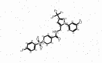 O=C(NCc1cc(C(F)(F)F)nn1-c1cccc(Cl)c1)C1=CCN(S(=O)(=O)c2ccc(F)cc2)CC1